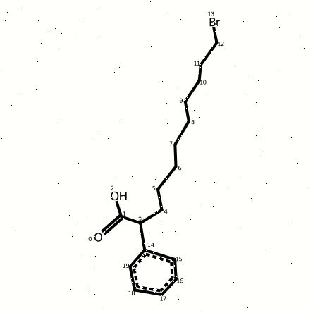 O=C(O)C(CCCCCCCCCBr)c1ccccc1